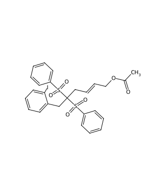 CC(=O)OCC=CCC(Cc1ccccc1I)(S(=O)(=O)c1ccccc1)S(=O)(=O)c1ccccc1